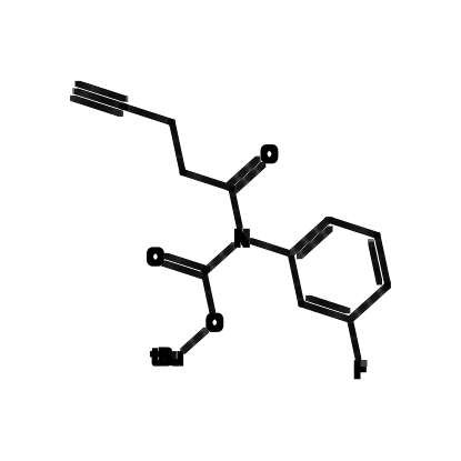 C#CCCC(=O)N(C(=O)OC(C)(C)C)c1cccc(F)c1